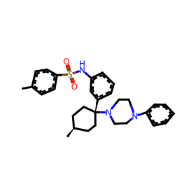 Cc1ccc(S(=O)(=O)Nc2cccc([C@]3(N4CCN(c5ccccc5)CC4)CC[C@H](C)CC3)c2)cc1